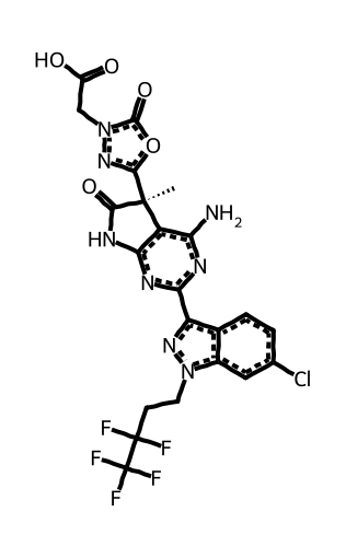 C[C@@]1(c2nn(CC(=O)O)c(=O)o2)C(=O)Nc2nc(-c3nn(CCC(F)(F)C(F)(F)F)c4cc(Cl)ccc34)nc(N)c21